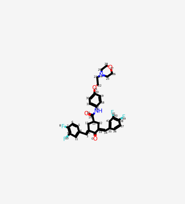 O=C1/C(=C/c2ccc(F)c(F)c2)CC(C(=O)Nc2ccc(OCCN3CCOCC3)cc2)C/C1=C\c1ccc(F)c(F)c1